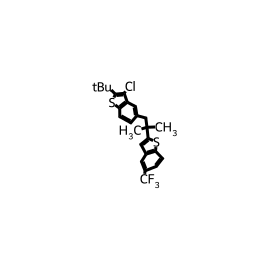 CC(C)(C)c1sc2ccc(CC(C)(C)c3cc4cc(C(F)(F)F)ccc4s3)cc2c1Cl